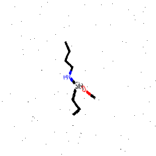 CCCCN[SiH](CCC)OC